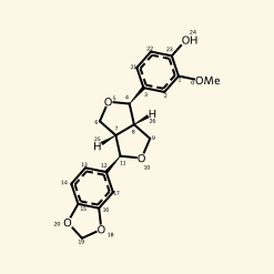 COc1cc([C@@H]2OC[C@@H]3[C@H]2CO[C@H]3c2ccc3c(c2)OCO3)ccc1O